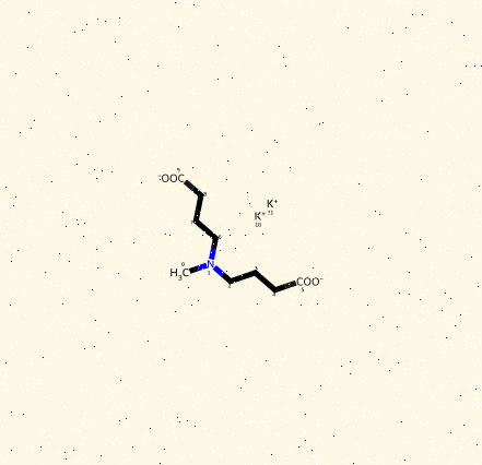 CN(CCCC(=O)[O-])CCCC(=O)[O-].[K+].[K+]